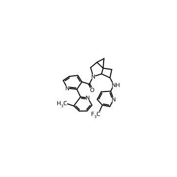 Cc1cccnc1-c1ncccc1C(=O)N1CC2CC23CC(Nc2ccc(C(F)(F)F)cn2)C13